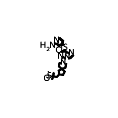 C[S@+]([O-])C(C)(C)CC1CCC2(CCN(c3ncc(Sc4ccnc(N)c4Cl)c4nccn34)CC2)C1